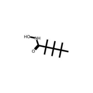 CC(C)(C)C(C)(C)C(C)(C)C(=O)NO